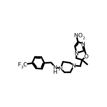 CC1(CN2CCN(NCc3ccc(C(F)(F)F)cc3)CC2)Cn2cc([N+](=O)[O-])nc2O1